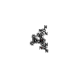 N#Cc1cc(C#N)c(-c2ccc3c(c2)c2ccccc2n3-c2ccnc(-c3cc(-c4nc(-c5ccccc5)nc(-c5ccccc5)n4)ccc3-n3c4ccccc4c4cc(-c5c(C#N)cc(C#N)cc5C#N)ccc43)c2)c(C#N)c1